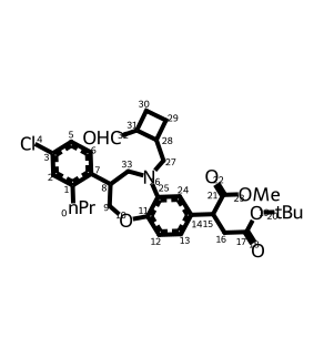 CCCc1cc(Cl)ccc1C1COc2ccc(C(CC(=O)OC(C)(C)C)C(=O)OC)cc2N(CC2CCC2C=O)C1